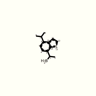 BC(C)c1ccc(C(C)C)c2ccsc12